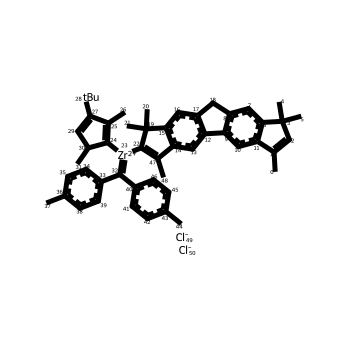 CC1=CC(C)(C)c2cc3c(cc21)-c1cc2c(cc1C3)C(C)(C)[C]([Zr+2]([C]1=C(C)C(C(C)(C)C)=CC1C)=[C](c1ccc(C)cc1)c1ccc(C)cc1)=C2C.[Cl-].[Cl-]